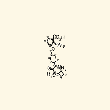 COc1c(OCC2CCC([C@H](N)C(=O)N(C)C3CCC3)CC2)cccc1C(=O)O